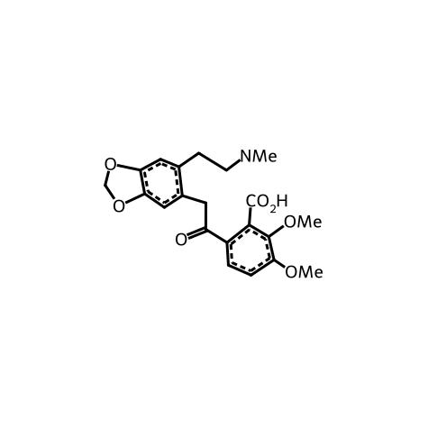 CNCCc1cc2c(cc1CC(=O)c1ccc(OC)c(OC)c1C(=O)O)OCO2